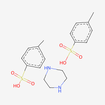 C1CNCCN1.Cc1ccc(S(=O)(=O)O)cc1.Cc1ccc(S(=O)(=O)O)cc1